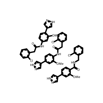 COc1cc(-c2cn[nH]c2)ccc1C(=O)NCc1ccccc1Cl.COc1cc(-c2cn[nH]c2)ccc1NC(=O)Cc1ccccc1Cl.COc1cc(NC(=O)Cc2ccccc2Cl)ccc1-c1cn[nH]c1